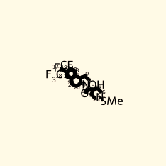 CSN1CCC(O)(C(=O)N2CCC3c4ccc(C(F)(C(F)(F)F)C(F)(F)F)cc4CCC32)CC1